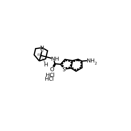 Cl.Cl.Nc1ccc2sc(C(=O)N[C@@H]3CN4CCC3CC4)cc2c1